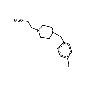 COCCN1CCN(Cc2ccc(F)cc2)CC1